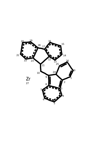 C1=CC2=c3ccccc3=C(CC3c4ccccc4-c4ccccc43)C2C=C1.[Zr]